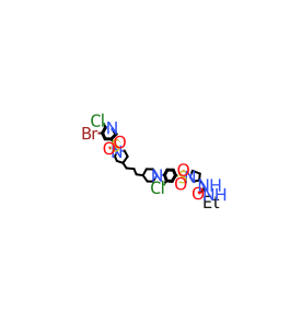 CCNC(=O)NC1CCN(S(=O)(=O)c2ccc(N3CCC(CCCC4CCN(S(=O)(=O)c5cnc(Cl)c(Br)c5)CC4)CC3)c(Cl)c2)C1